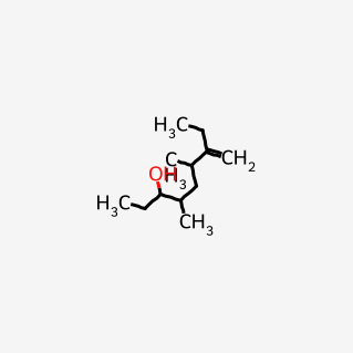 C=C(CC)C(C)CC(C)C(O)CC